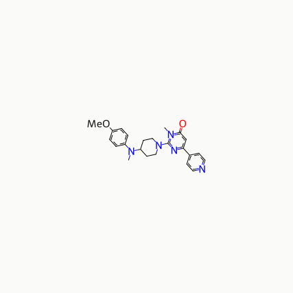 COc1ccc(N(C)C2CCN(c3nc(-c4ccncc4)cc(=O)n3C)CC2)cc1